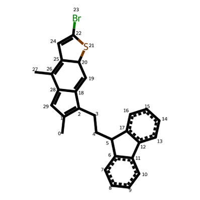 CC1=C(CCC2c3ccccc3-c3ccccc32)C2=CC3SC(Br)=CC3=C(C)C2=C1